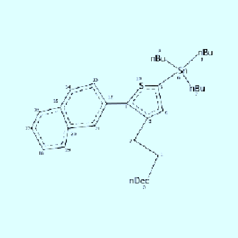 CCCCCCCCCCCCc1c[c]([Sn]([CH2]CCC)([CH2]CCC)[CH2]CCC)sc1-c1ccc2ccccc2c1